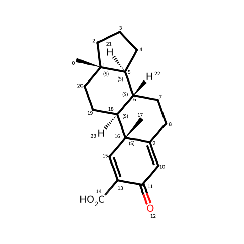 C[C@@]12CCC[C@H]1[C@@H]1CCC3=CC(=O)C(C(=O)O)=C[C@]3(C)[C@H]1CC2